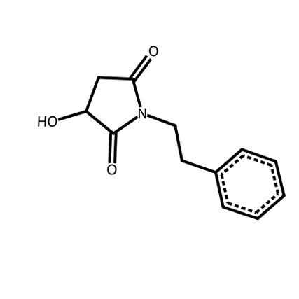 O=C1CC(O)C(=O)N1CCc1ccccc1